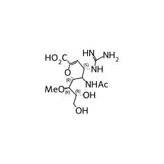 CO[C@H]([C@H](O)CO)[C@@H]1OC(C(=O)O)=C[C@H](NC(=N)N)C1NC(C)=O